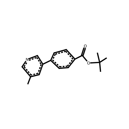 Cc1cncc(-c2ccc(C(=O)OC(C)(C)C)cc2)c1